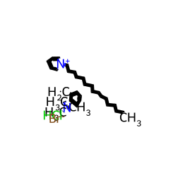 CCCCCCCCCCCCCCCC[n+]1ccccc1.CN(C)C.Cl.[Br-].[CH2]c1ccccc1